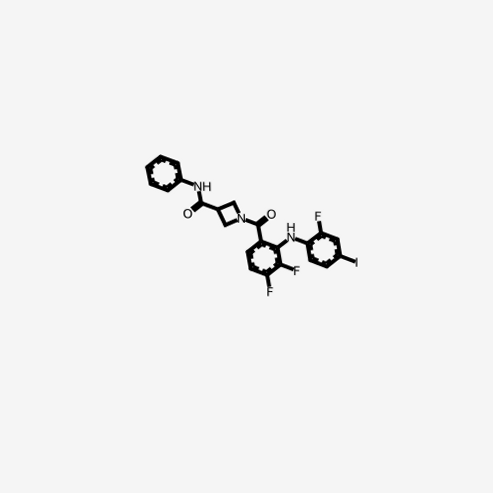 O=C(Nc1ccccc1)C1CN(C(=O)c2ccc(F)c(F)c2Nc2ccc(I)cc2F)C1